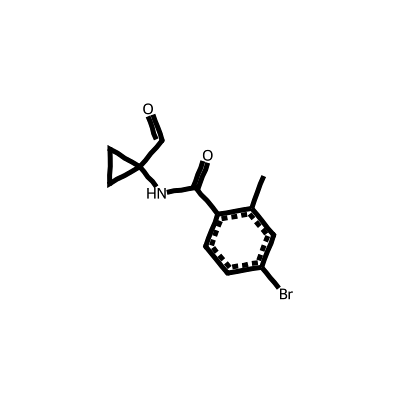 Cc1cc(Br)ccc1C(=O)NC1(C=O)CC1